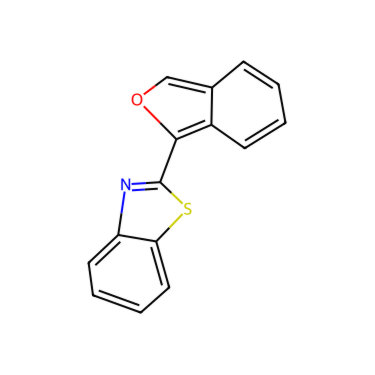 c1ccc2c(-c3nc4ccccc4s3)occ2c1